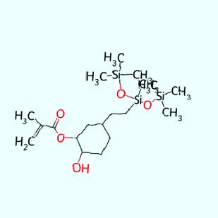 C=C(C)C(=O)OC1CC(CC[Si](C)(O[Si](C)(C)C)O[Si](C)(C)C)CCC1O